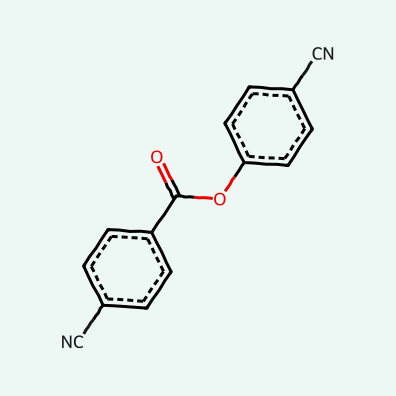 N#Cc1ccc(OC(=O)c2ccc(C#N)cc2)cc1